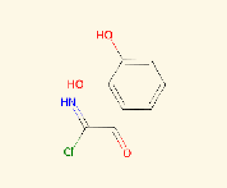 N=C(Cl)C=O.Oc1ccccc1O